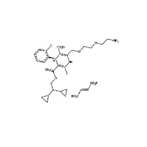 CCOC(=O)C1=C(COCCOCCN)NC(C)=C(C(=O)OCC(C2CC2)C2CC2)[C@H]1c1ccccc1Cl.O=C(O)C=CC(=O)O